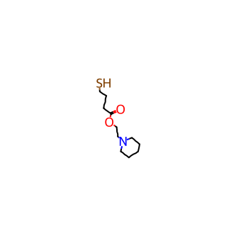 O=C(CCCS)OCCN1CCCCC1